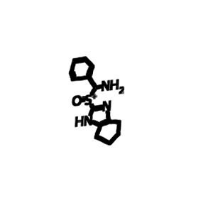 NC(c1ccccc1)[S+]([O-])c1nc2c([nH]1)CCCC2